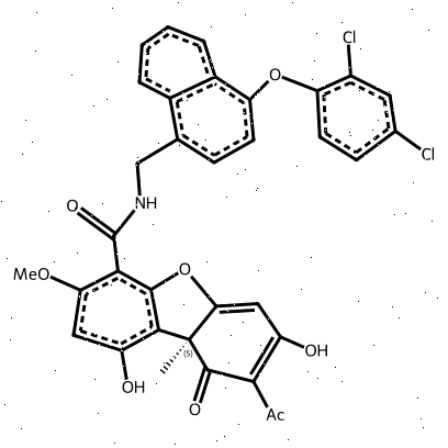 COc1cc(O)c2c(c1C(=O)NCc1ccc(Oc3ccc(Cl)cc3Cl)c3ccccc13)OC1=CC(O)=C(C(C)=O)C(=O)[C@]12C